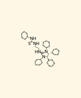 S=C(NCCNP1N(c2ccccc2)[C@H](c2ccccc2)[C@@H](c2ccccc2)N1c1ccccc1)Nc1ccccc1